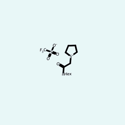 CCCCCCC(=O)C[S+]1CCCC1.O=S(=O)([O-])C(F)(F)F